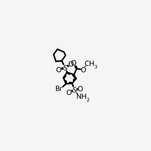 COC(=O)c1cc(S(N)(=O)=O)c(Br)cc1S(=O)(=O)C1CCCCC1